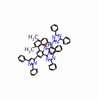 Cc1cc(C)c(-c2cc(-c3cc(-c4ccccc4)nc(-c4ccccc4)n3)cc(-c3nc(-c4ccccc4)nc(-c4ccccc4)n3)c2N2c3ccccc3N(c3nc(-c4ccccc4)nc(-c4ccccc4)n3)c3ccccc32)c(C)c1